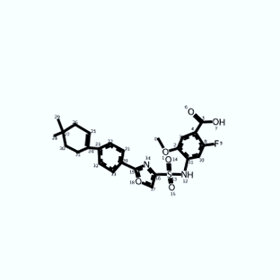 COc1cc(C(=O)O)c(F)cc1NS(=O)(=O)c1coc(-c2ccc(C3=CCC(C)(C)CC3)cc2)n1